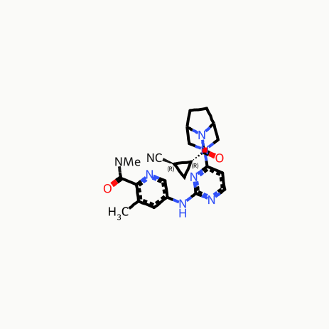 CNC(=O)c1ncc(Nc2nccc(N3CC4CCC(C3)N4C(=O)[C@@H]3C[C@H]3C#N)n2)cc1C